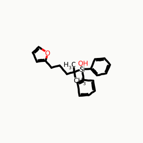 CC(C)(CCCc1ccco1)[Si](O)(c1ccccc1)c1ccccc1